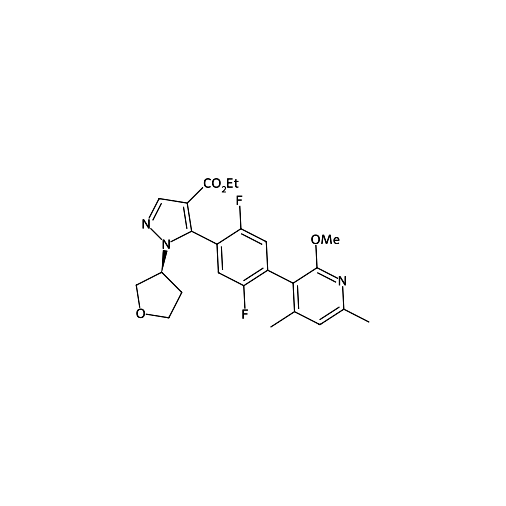 CCOC(=O)c1cnn([C@H]2CCOC2)c1-c1cc(F)c(-c2c(C)cc(C)nc2OC)cc1F